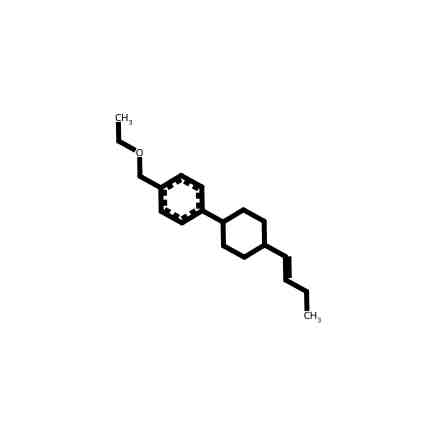 CC/C=C/C1CCC(c2ccc(COCC)cc2)CC1